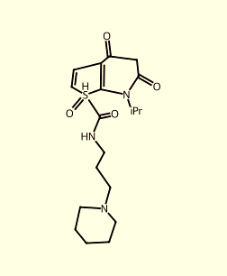 CC(C)N1C(=O)CC(=O)C2=C1[SH](=O)(C(=O)NCCCN1CCCCC1)C=C2